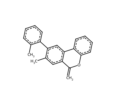 C=C1Oc2ccccc2-c2cc(-c3ccccc3C)c(C)cc21